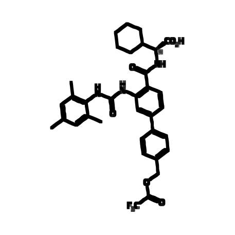 Cc1cc(C)c(NC(=O)Nc2cc(-c3ccc(COC(=O)C(F)(F)F)cc3)ccc2C(=O)N[C@H](C(=O)O)C2CCCCC2)c(C)c1